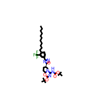 CCCCCCCCCCCc1ccc(-c2noc([C@@H]3CCCN(/C(=N\C(=O)OC(C)(C)C)NC(=O)OC(C)(C)C)C3)n2)cc1C(F)(F)F